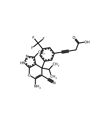 Cc1n[nH]c2c1C(c1cc(C#CCC(=O)O)cc(C(F)(F)F)c1)(C(C)C)C(C#N)=C(N)O2